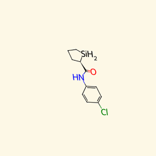 O=C(Nc1ccc(Cl)cc1)[C@H]1CCC[SiH2]1